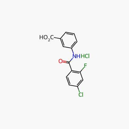 Cl.O=C(O)c1cccc(NC(=O)c2ccc(Cl)cc2F)c1